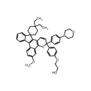 CCC1(CC)CCC2(CC1)c1ccccc1-c1c2c2c(c3cc(OC)ccc13)OC(c1ccc(OCCO)cc1)(c1ccc(N3CCOCC3)cc1)C=C2